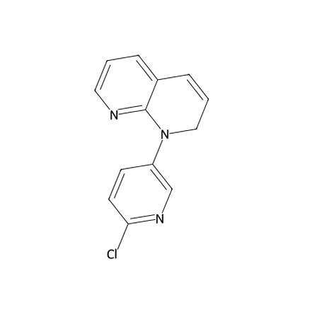 Clc1ccc(N2CC=Cc3cccnc32)cn1